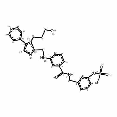 O=C(NCc1cccc(OS(=O)(=O)F)c1)c1cccc(NCc2nnc(-c3ccncc3)n2CCCO)c1